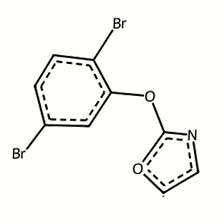 Brc1ccc(Br)c(Oc2nc[c]o2)c1